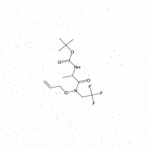 C=CCON(CC(F)(F)F)C(=O)C(C)NC(=O)OC(C)(C)C